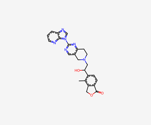 Cc1c(C(O)CN2CCc3nc(-n4cnc5cccnc54)ncc3C2)ccc2c1COC2=O